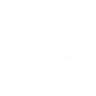 BC(NC(=O)C(F)(F)c1ccc(Cl)cc1)c1ccc2c(c1)CN(C1C(=O)NC(=O)C(B)(B)C1(B)B)C2=O